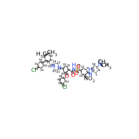 CN(C)C1CCC(Nc2ccc(S(=O)(=O)NC(=O)c3ccc(N4CCN(CC5=C(c6ccc(Cl)cc6)CC(C)(C)CC5)CC4)cc3Oc3cccc(Cl)c3)cc2[N+](=O)[O-])CC1